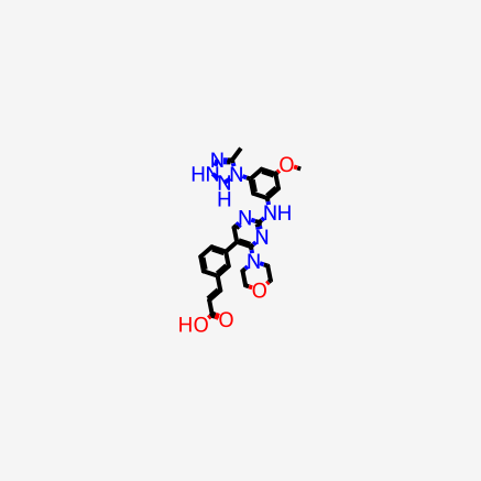 COc1cc(Nc2ncc(-c3cccc(/C=C/C(=O)O)c3)c(N3CCOCC3)n2)cc(N2NNN=C2C)c1